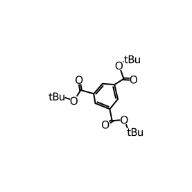 CC(C)(C)OC(=O)c1cc(C(=O)OC(C)(C)C)cc(C(=O)OC(C)(C)C)c1